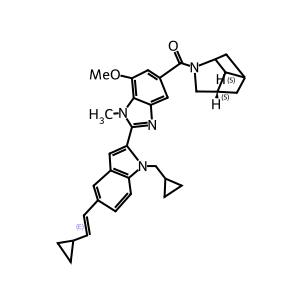 COc1cc(C(=O)N2C[C@H]3CC4CC2[C@@H]43)cc2nc(-c3cc4cc(/C=C/C5CC5)ccc4n3CC3CC3)n(C)c12